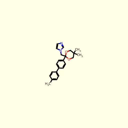 Cc1ccc(-c2ccc(C3(Cn4ccnc4)OCC(C)(C)CO3)cc2)cc1